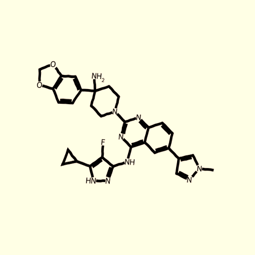 Cn1cc(-c2ccc3nc(N4CCC(N)(c5ccc6c(c5)OCO6)CC4)nc(Nc4n[nH]c(C5CC5)c4F)c3c2)cn1